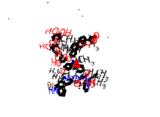 CC(C)C[C@H]1C(=O)N2CCC[C@H]2[C@]2(O)O[C@](NC(=O)[C@@H]3C=C4c5cccc6[nH]c(Br)c(c56)C[C@H]4N(C)C3)(C(C)C)C(=O)N12.COc1ccc2c(c1)[C@]13CCCC[C@@H]1[C@H](C2)N(C)CC3.C[C@H]1O[C@@H](O[C@H]2[C@@H](O)C[C@H](O[C@H]3[C@@H](O)C[C@H](O[C@H]4CC[C@@]5(C)[C@H](CC[C@@H]6[C@@H]5CC[C@]5(C)[C@@H](C7=CC(=O)OC7)CC[C@]65O)C4)O[C@@H]3C)O[C@@H]2C)C[C@H](O)[C@@H]1O